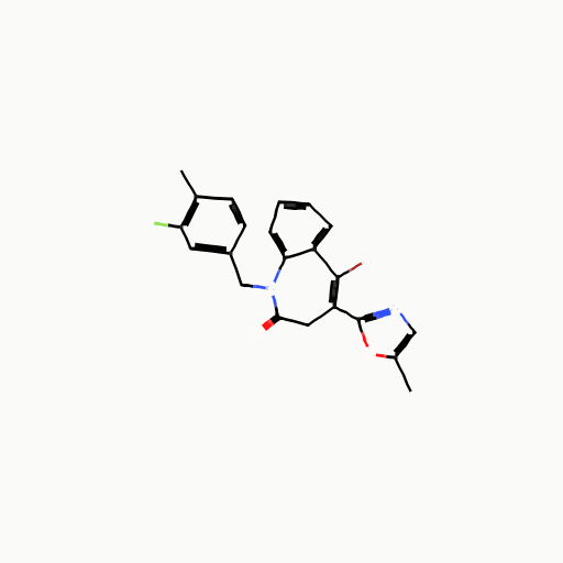 Cc1cnc(C2=C(Br)c3ccccc3N(Cc3ccc(C)c(F)c3)C(=O)C2)o1